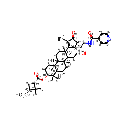 CC(C)C1=C2[C@H]3CC[C@@H]4[C@@]5(C)CC[C@H](OC(=O)[C@H]6C[C@@H](C(=O)O)C6(C)C)C(C)(C)[C@@H]5CC[C@@]4(C)[C@]3(C)CC[C@@]2([C@@H](O)CNC(=O)c2ccncc2)CC1=O